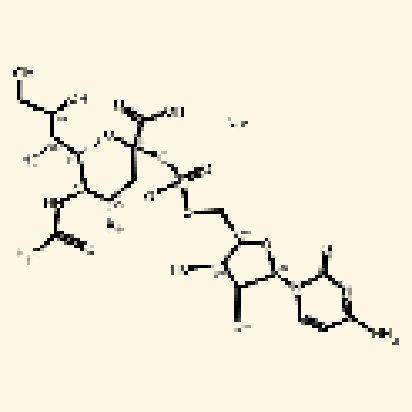 CC(=O)N[C@H]1[C@H]([C@H](O)[C@H](O)CO)O[C@](OP(=O)([O-])OC[C@H]2O[C@@H](n3ccc(N)nc3=O)C(O)[C@H]2O)(C(=O)O)C[C@@H]1O.[Na+]